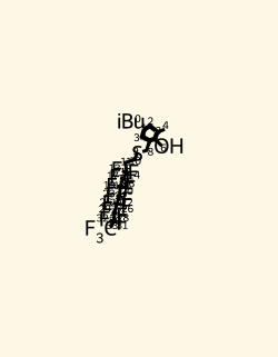 CCC(C)c1cc(C)c(O)c(CSCCC(F)(F)C(F)(F)C(F)(F)C(F)(F)C(F)(F)C(F)(F)C(F)(F)C(F)(F)F)c1